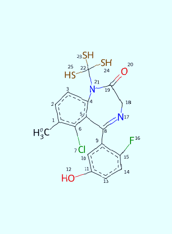 Cc1ccc2c(c1Cl)C(c1cc(O)ccc1F)=NCC(=O)N2C(S)(S)S